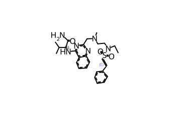 CCN(CCN(C)Cc1nc(N[C@H](C(N)=O)C(C)C)c2ccccc2n1)S(=O)(=O)/C=C/c1ccccc1